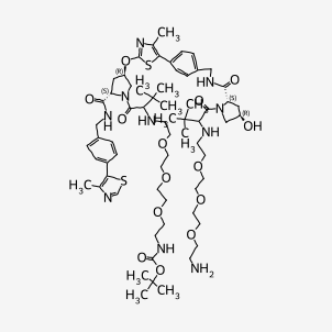 Cc1ncsc1-c1ccc(CNC(=O)[C@@H]2C[C@@H](Oc3nc(C)c(-c4ccc(CNC(=O)[C@@H]5C[C@@H](O)CN5C(=O)C(NCCOCCOCCOCCN)C(C)(C)C)cc4)s3)CN2C(=O)C(NCCOCCOCCOCCNC(=O)OC(C)(C)C)C(C)(C)C)cc1